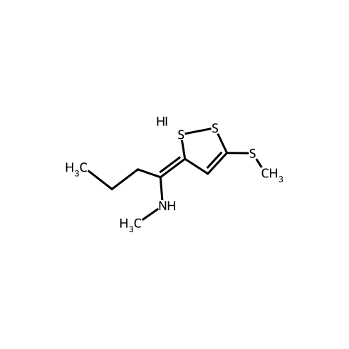 CCC/C(NC)=C1/C=C(SC)SS1.I